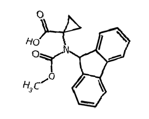 COC(=O)N(C1c2ccccc2-c2ccccc21)C1(C(=O)O)CC1